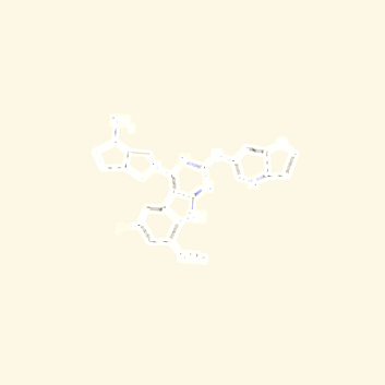 CNc1cc(F)cc2c1[nH]c1nc(Oc3cnc4ccoc4c3)nc(N3CC4CCC(N)C4C3)c12